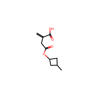 C=C(CC(=O)OC1CC(C)C1)C(=O)O